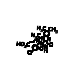 Cc1cc2nc3c(=O)[nH]c(=O)nc-3n(C(C)N(CCCC(=O)O)Cc3ccc(Cl)cc3)c2cc1C